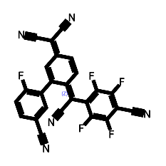 N#CC(C#N)=c1cc/c(=C(/C#N)c2c(F)c(F)c(C#N)c(F)c2F)c(-c2cc(C#N)ccc2F)c1